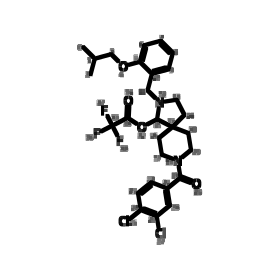 CC(C)COc1ccccc1CN1CCC2(CCN(C(=O)c3ccc(Cl)c(Cl)c3)CC2)C1OC(=O)C(F)(F)F